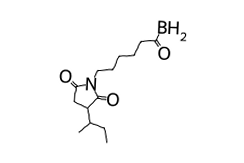 BC(=O)CCCCCN1C(=O)CC(C(C)CC)C1=O